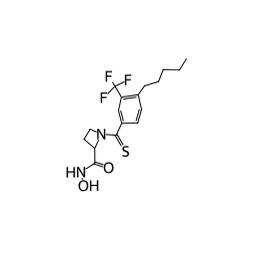 CCCCCc1ccc(C(=S)N2CCC2C(=O)NO)cc1C(F)(F)F